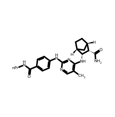 CCCNC(=O)c1ccc(Nc2ncc(C)c(N[C@@H]3[C@@H]4CC[C@@H](C4)[C@@H]3C(N)=O)n2)cc1